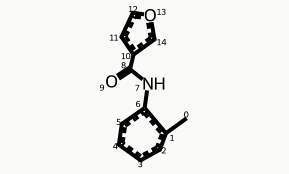 Cc1ccccc1NC(=O)c1ccoc1